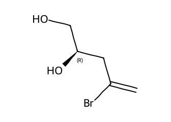 C=C(Br)C[C@@H](O)CO